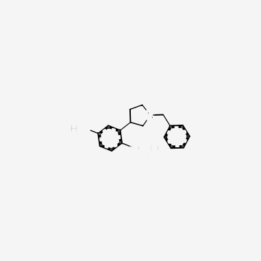 CCOC(=O)c1ccc(C)cc1C1CCN(Cc2ccccc2)C1